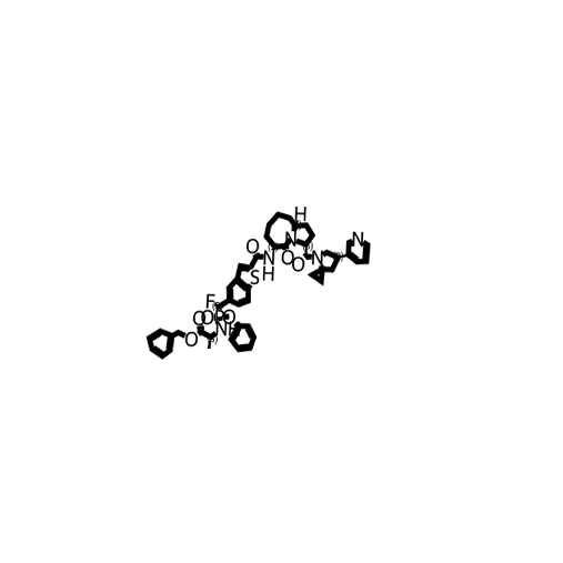 C[C@H](NP(=O)(Oc1ccccc1)[C@@H](F)c1ccc2sc(C(=O)N[C@H]3CCCC[C@H]4CC[C@@H](C(=O)N5C[C@@H](c6cccnc6)CC56CC6)N4C3=O)cc2c1)C(=O)OCc1ccccc1